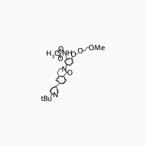 COCCOCOc1ccc(N2CCc3cc(-c4ccc(C(C)(C)C)nc4)ccc3C2=O)cc1NS(C)(=O)=O